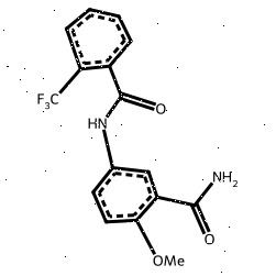 COc1ccc(NC(=O)c2ccccc2C(F)(F)F)cc1C(N)=O